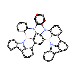 c1ccc(N2c3cccc4c3B(c3cc5c6c(c32)N(c2ccccc2)c2ccccc2B6n2c3ccccc3c3cccc-5c32)n2c3ccccc3c3cccc-4c32)cc1